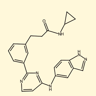 O=C(CCc1cccc(-c2nccc(Nc3ccc4[nH]ncc4c3)n2)c1)NC1CC1